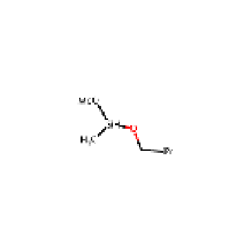 CO[SiH](C)OCC(C)C